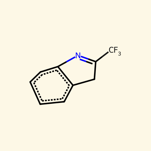 FC(F)(F)C1=Nc2ccccc2C1